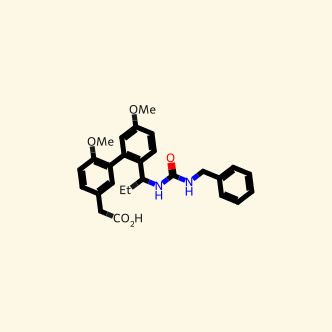 CCC(NC(=O)NCc1ccccc1)c1ccc(OC)cc1-c1cc(CC(=O)O)ccc1OC